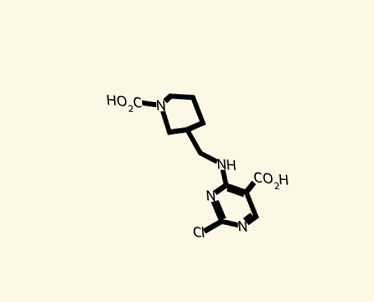 O=C(O)c1cnc(Cl)nc1NCC1CCCN(C(=O)O)C1